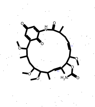 COC1/C=C\CC(C)C(=O)NC2=CC(=O)C=C(C2=O)C(OC)C(C)CC(OC)C(OC)C(C)/C=C(\C)C1OC(N)=O